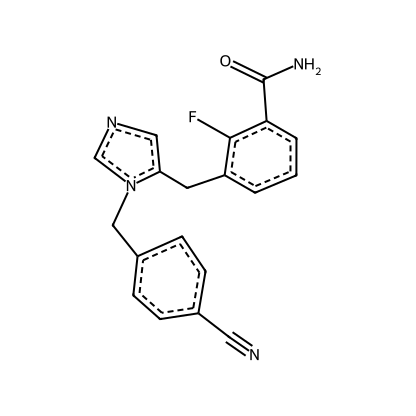 N#Cc1ccc(Cn2cncc2Cc2cccc(C(N)=O)c2F)cc1